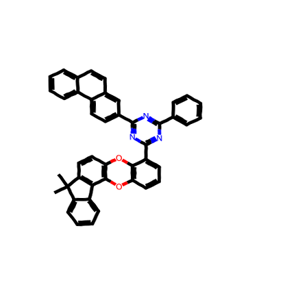 CC1(C)c2ccccc2-c2c1ccc1c2Oc2cccc(-c3nc(-c4ccccc4)nc(-c4ccc5c(ccc6ccccc65)c4)n3)c2O1